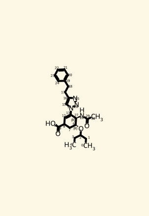 CCC(CC)O[C@@H]1CC(C(=O)O)C=C(n2cc(CCc3ccccc3)nn2)[C@H]1NC(C)=O